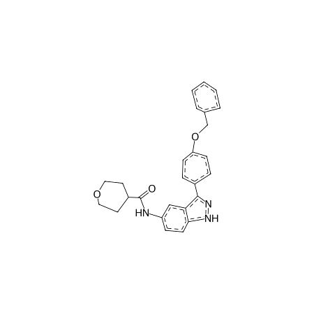 O=C(Nc1ccc2[nH]nc(-c3ccc(OCc4ccccc4)cc3)c2c1)C1CCOCC1